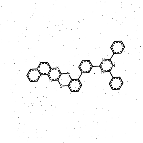 c1ccc(-c2nc(-c3ccccc3)nc(-c3cccc(-c4cccc5c4Sc4nc6ccc7ccccc7c6nc4S5)c3)n2)cc1